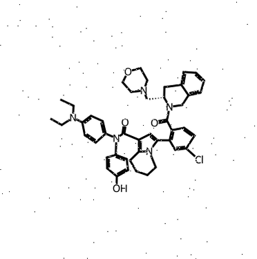 CCN(CC)c1ccc(N(C(=O)c2cc(-c3cc(Cl)ccc3C(=O)N3Cc4ccccc4C[C@H]3CN3CCOCC3)n3c2CCCC3)c2ccc(O)cc2)cc1